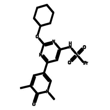 Cc1cc(-c2cc(NS(=O)(=O)C(C)C)nc(OC3CCCCC3)n2)cn(C)c1=O